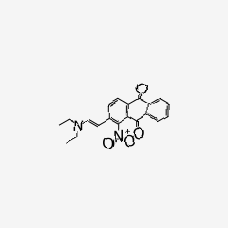 CCN(C=Cc1ccc2c(c1[N+](=O)[O-])C(=O)c1ccccc1C2=O)CC